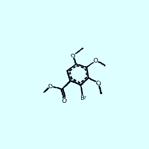 COC(=O)c1cc(OC)c(OC)c(OC)c1Br